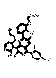 COCOc1cccc(-c2nc3c(cc2F)c(N2C[C@@H](C)N(C(=O)O)C[C@@H]2C)nc(=O)n3-c2c(CCCO)ccnc2C(C)C)c1O